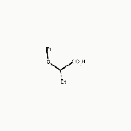 CC[C@H](OC(C)C)C(=O)O